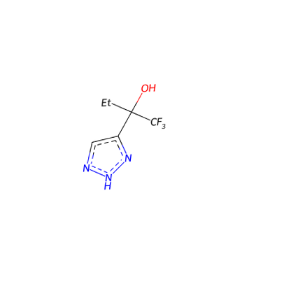 CCC(O)(c1cn[nH]n1)C(F)(F)F